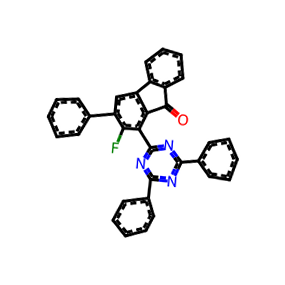 O=C1c2ccccc2-c2cc(-c3ccccc3)c(F)c(-c3nc(-c4ccccc4)nc(-c4ccccc4)n3)c21